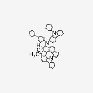 CC1(C)c2cc(N(c3ccc(-c4ccccc4)cc3)c3ccc4c5ccccc5n(-c5ccccc5)c4c3)c3ccc4cccc5c4c3c2c2c1ccc1c3ccccc3n5c12